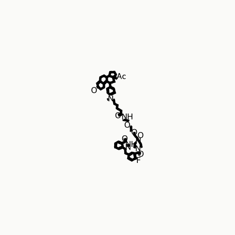 CC(=O)C1CCC2C3CCC4=CC(=O)CCC4=C3C(c3ccc(N(C)CCCCCC(=O)NCCOCCOCC(=O)N4CCN(C(=O)c5cc(Cc6n[nH]c(=O)c7ccccc67)ccc5F)CC4)cc3)CC12C